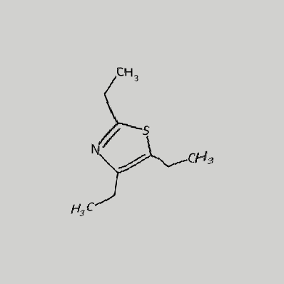 CCc1nc(CC)c(CC)s1